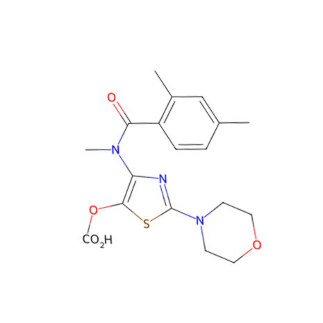 Cc1ccc(C(=O)N(C)c2nc(N3CCOCC3)sc2OC(=O)O)c(C)c1